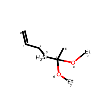 C=CC[SiH2]C(C)(OCC)OCC